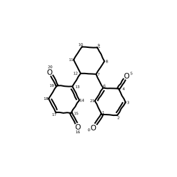 O=C1C=CC(=O)C(C2C[CH]CCC2C2=CC(=O)C=CC2=O)=C1